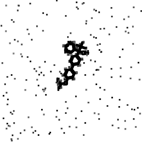 CC(C)(C)C(O)(c1ccc(-c2ccc(OC(F)F)cc2)cc1)c1cncnc1